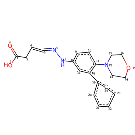 O=C(O)CC=C=NNc1ccc(N2CCOCC2)c(-c2ccccc2)c1